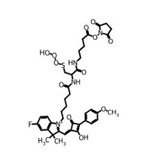 COc1ccc(C2=C(O)/C(=C/C3=[N+](CCCCCC(=O)NC(CSOOO)C(=O)NCCCCC(=O)ON4C(=O)CCC4=O)c4ccc(F)cc4C3(C)C)C2=O)cc1